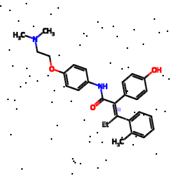 CC/C(=C(\C(=O)Nc1ccc(OCCN(C)C)cc1)c1ccc(O)cc1)c1ccccc1C